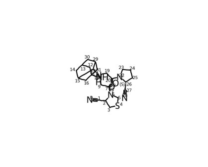 N#CC1CSCN1C(=O)CNC12CC3CC(C1)C(NCC(=O)N1CCC[C@H]1C#N)C(C3)C2